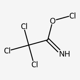 N=C(OCl)C(Cl)(Cl)Cl